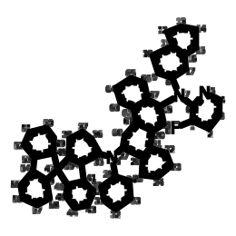 Fc1cccnc1N(c1ccc2ccccc2c1)c1cc2c3ccccc3c(N(c3ccccc3)c3cccc4c3-c3ccccc3C43c4ccccc4-c4ccccc43)cc2c2ccccc12